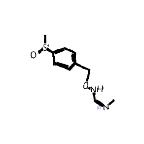 C/N=C\NOCc1ccc([S+](C)[O-])cc1